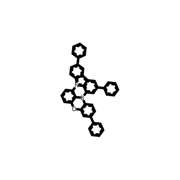 c1ccc(-c2ccc3c(c2)Oc2cccc4c2B3c2cc(-c3ccccc3)cc3c5cc(-c6ccccc6)ccc5n-4c23)cc1